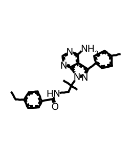 CCc1ccc(C(=O)NCC(C)(C)n2nc(-c3ccc(C)cc3)c3c(N)ncnc32)cc1